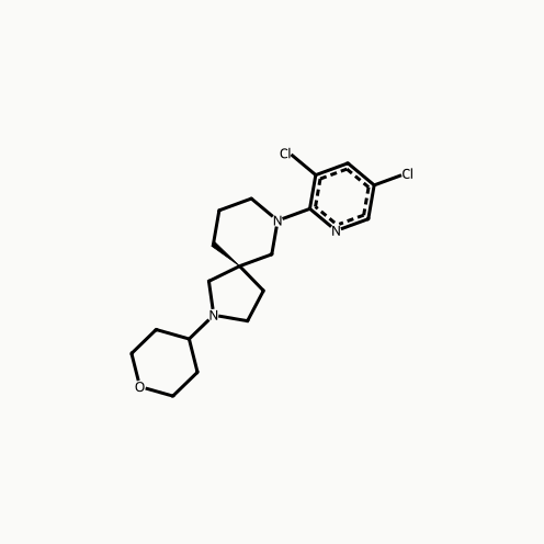 Clc1cnc(N2CCC[C@]3(CCN(C4CCOCC4)C3)C2)c(Cl)c1